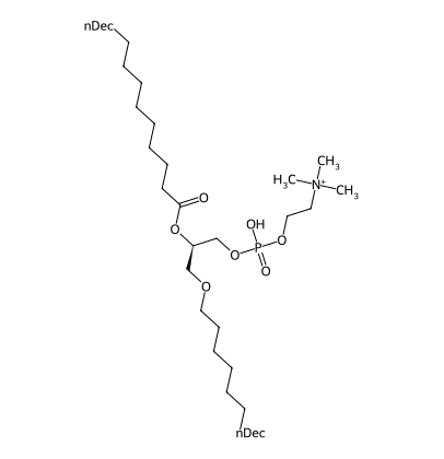 CCCCCCCCCCCCCCCCCCC(=O)O[C@H](COCCCCCCCCCCCCCCCC)COP(=O)(O)OCC[N+](C)(C)C